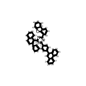 c1ccc(-c2ccc3ccccc3c2-c2nc(-c3ccc(-c4cc5ccccc5c5ccccc45)cc3)nc(-c3cccc4c3oc3ccccc34)n2)cc1